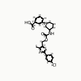 Cc1nc(-c2ccc(Cl)cc2)sc1COC(=O)NC1CCCN(c2cccc(C(=O)O)c2)C1